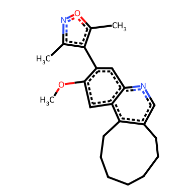 COc1cc2c3c(cnc2cc1-c1c(C)noc1C)CCCCCCC3